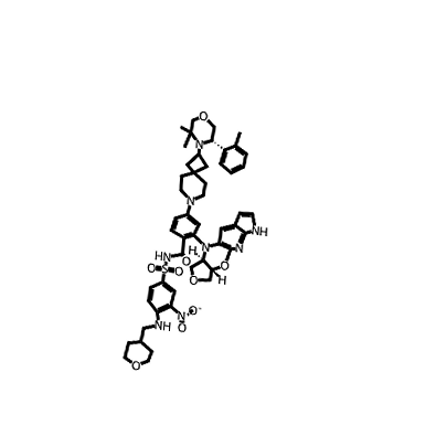 Cc1ccccc1[C@H]1COCC(C)(C)N1C1CC2(CCN(c3ccc(C(=O)NS(=O)(=O)c4ccc(NCC5CCOCC5)c([N+](=O)[O-])c4)c(N4c5cc6cc[nH]c6nc5O[C@@H]5COC[C@H]54)c3)CC2)C1